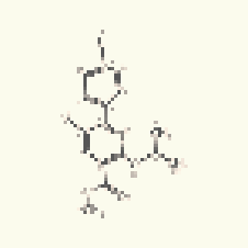 COC(=O)c1cc(Br)c(-c2ccc(F)cc2)nc1OC(C)C